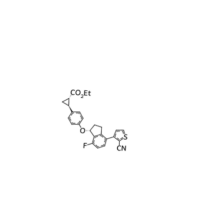 CCOC(=O)[C@H]1C[C@@H]1c1ccc(O[C@@H]2CCc3c(-c4ccsc4C#N)ccc(F)c32)cc1